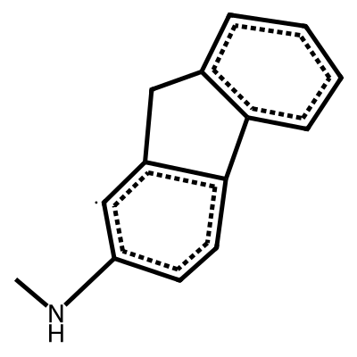 CNc1[c]c2c(cc1)-c1ccccc1C2